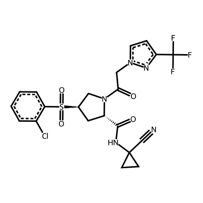 N#CC1(NC(=O)[C@@H]2C[C@@H](S(=O)(=O)c3ccccc3Cl)CN2C(=O)Cn2ccc(C(F)(F)F)n2)CC1